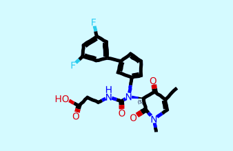 CC1=CN(C)C(=O)[C@@H](N(C(=O)NCCC(=O)O)c2cccc(-c3cc(F)cc(F)c3)c2)C1=O